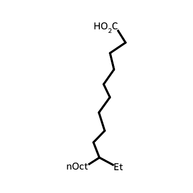 CCCCCCCCC(CC)CCCCCCCCC(=O)O